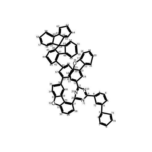 c1ccc(-c2cccc(-c3nc(-c4ccc5oc6ccccc6c5c4)nc(-c4cccc5oc6ccc(-c7cccc(-c8cccc9c8-c8ccccc8C98c9ccccc9-c9ccccc98)c7)cc6c45)n3)c2)cc1